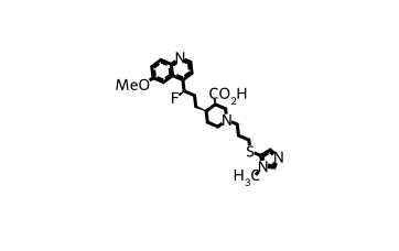 COc1ccc2nccc([C@H](F)CC[C@@H]3CCN(CCCSc4cncn4C)C[C@@H]3C(=O)O)c2c1